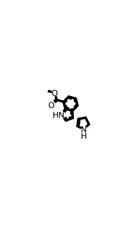 C1=CNCC1.COC(=O)c1cccc2cc[nH]c12